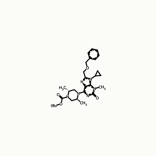 C[C@@H]1CN(c2nc(=O)n(C)c3c2nc(COCc2ccccc2)n3C2CC2)[C@@H](C)CN1C(=O)OC(C)(C)C